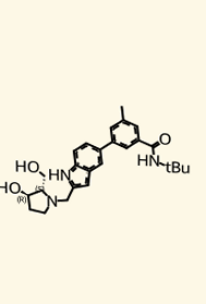 Cc1cc(C(=O)NC(C)(C)C)cc(-c2ccc3[nH]c(CN4CC[C@@H](O)[C@@H]4CO)cc3c2)c1